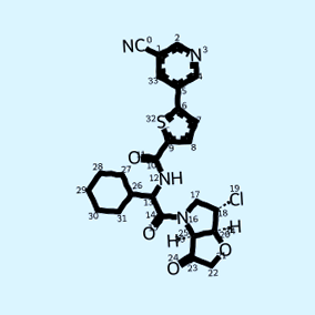 N#Cc1cncc(-c2ccc(C(=O)NC(C(=O)N3C[C@H](Cl)[C@H]4OCC(=O)[C@H]43)C3CCCCC3)s2)c1